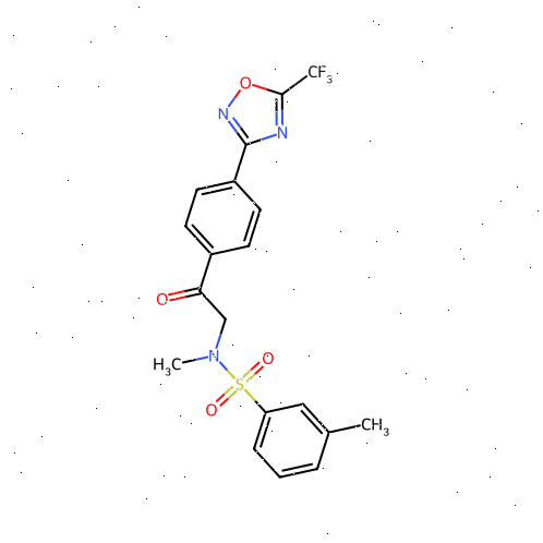 Cc1cccc(S(=O)(=O)N(C)CC(=O)c2ccc(-c3noc(C(F)(F)F)n3)cc2)c1